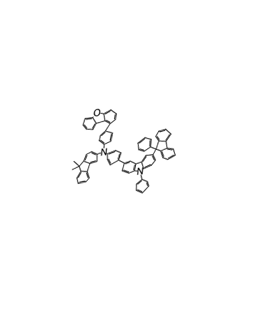 CC1(C)c2ccccc2-c2cc(N(c3ccc(-c4ccc5c(c4)c4cc(C6(c7ccccc7)c7ccccc7-c7ccccc76)ccc4n5-c4ccccc4)cc3)c3ccc(-c4cccc5oc6ccccc6c45)cc3)ccc21